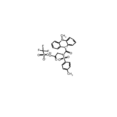 Cc1ccc(S(=O)(=O)N(CC(=O)O)C(=O)[c+]2c3ccccc3n(C)c3ccccc32)cc1.O=S(=O)([O-])C(F)(F)F